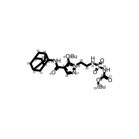 CC(C)COc1c(C(=O)NC2C3CC4CC(C3)CC2C4)cnn1CCNS(=O)(=O)NC(=O)OC(C)(C)C